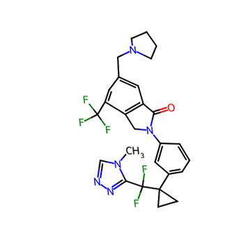 Cn1cnnc1C(F)(F)C1(c2cccc(N3Cc4c(cc(CN5CCCC5)cc4C(F)(F)F)C3=O)c2)CC1